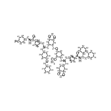 COc1cc(OCc2cc3c(cc2CN(Cc2ccc(OCc4ccccc4)cc2)Cc2nc(C(=O)NCc4ccc(F)cc4)cs2)OCO3)ccc1CN(Cc1ccc2c(c1)OCO2)Cc1nc(C(=O)NC(Cc2ccccc2)c2ccccc2)cs1